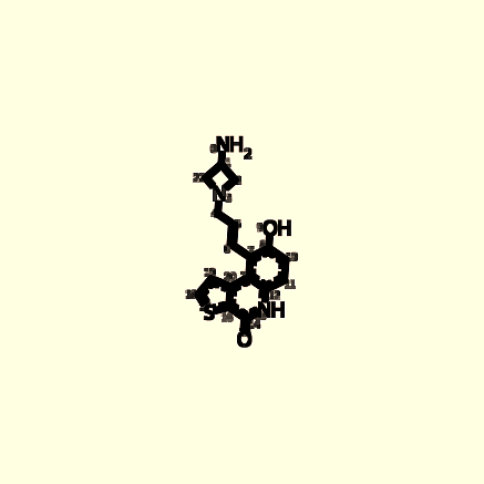 NC1CN(CC=Cc2c(O)ccc3[nH]c(=O)c4sccc4c23)C1